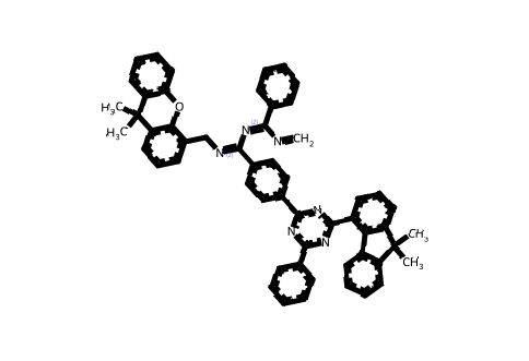 C=N/C(=N\C(=N/Cc1cccc2c1Oc1ccccc1C2(C)C)c1ccc(-c2nc(-c3ccccc3)nc(-c3cccc4c3-c3ccccc3C4(C)C)n2)cc1)c1ccccc1